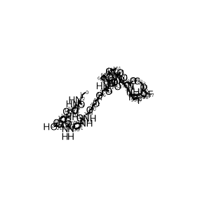 CCCNC(=O)Nc1cccc([S+]([O-])Nc2cccc([C@@H](CC(=O)O)NC(=O)Nc3ccc(NC(=O)NCCOCCOCCOCCC(=O)N[C@@H](CC(=O)O)C(=O)N4CCC[C@H]4C(=O)N[C@H](C(=O)N=[SH](=O)Cc4cc5nc(c4)OCCCOc4cc(F)ccc4-c4cc(ncc4F)N5)C(C)C)cc3)c2)c1